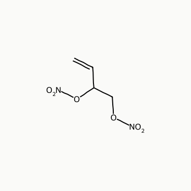 C=CC(CO[N+](=O)[O-])O[N+](=O)[O-]